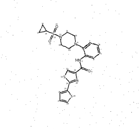 O=C(Nc1ccccc1N1CCN(S(=O)(=O)C2CC2)CC1)c1csc(-c2cccs2)n1